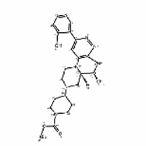 C[C@@H]1Nc2nnc(-c3ccccc3O)cc2N2CCN(C3CCN(C(=O)OC(C)(C)C)CC3)C[C@@H]12